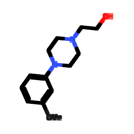 COc1cccc(N2CCN(CCO)CC2)c1